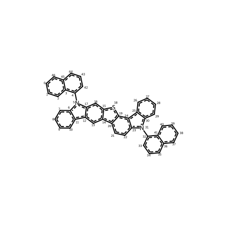 c1ccc2c(-n3c4ccccc4c4cc5c(cc43)sc3c5ccc4c3c3ccccc3n4-c3cccc4ccccc34)cccc2c1